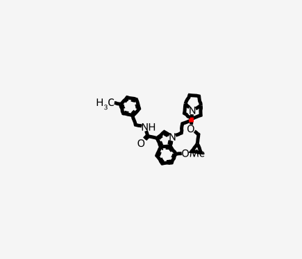 COc1cccc2c(C(=O)NCc3cccc(C)c3)cn(CCCN3C4CCC3CC(OCC3CC3)C4)c12